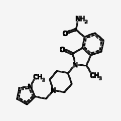 CC1c2cccc(C(N)=O)c2C(=O)N1C1CCN(Cc2cccn2C)CC1